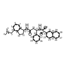 CN(C)Cc1cccc2c1CCC2NC(=O)CC(NS(=O)(=O)c1ccc2ccccc2c1)c1ccccc1